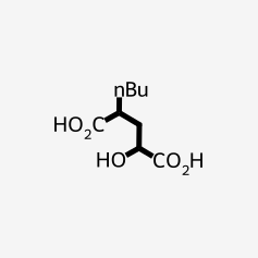 CCCCC(CC(O)C(=O)O)C(=O)O